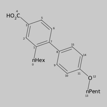 CCCCCCc1cc(C(=O)O)ccc1-c1ccc(OCCCCC)cc1